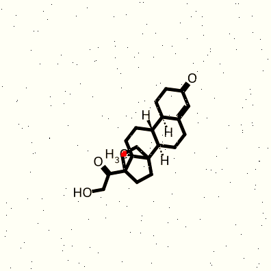 C[C@]12CC[C@H]3[C@@H](CCC4=CC(=O)CC[C@@H]43)C13CCC2(C(=O)CO)CC3